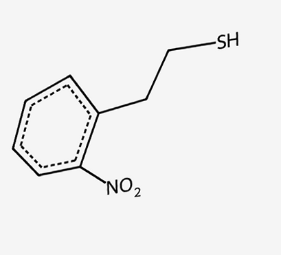 O=[N+]([O-])c1ccccc1CCS